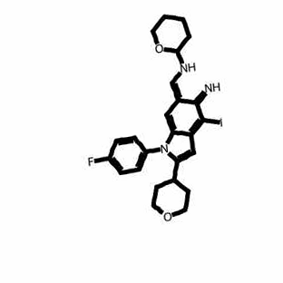 N=C1C(I)=c2cc(C3CCOCC3)n(-c3ccc(F)cc3)c2=C/C1=C/NC1CCCCO1